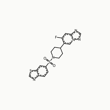 O=S(=O)(c1ccc2ncsc2c1)N1CCC(c2cn3ncnc3cc2F)CC1